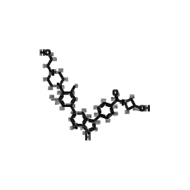 Cc1cc(-c2cnc3[nH]cc(-c4ccc(C(=O)N5CC(O)C5)cc4)c3c2)cc(C)c1N1CCN(CCO)CC1